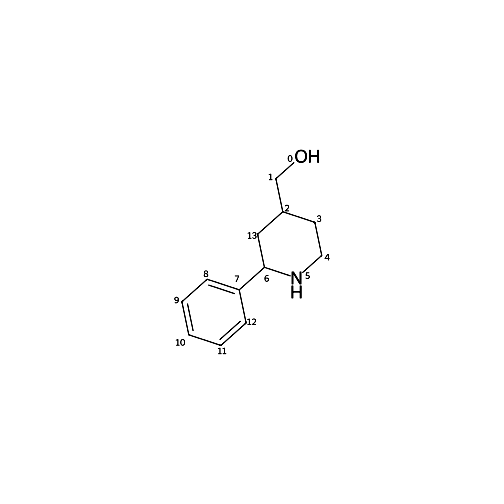 OCC1CCNC(c2ccccc2)C1